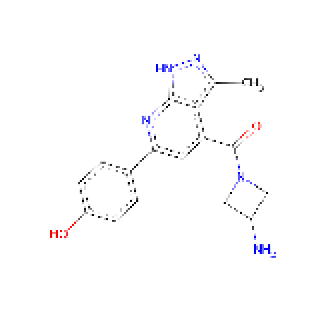 Cc1n[nH]c2nc(-c3ccc(O)cc3)cc(C(=O)N3CC(N)C3)c12